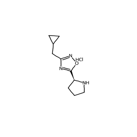 C1CN[C@H](c2nc(CC3CC3)no2)C1.Cl